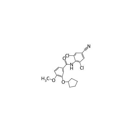 COc1ccc(C(=O)Nc2c(Cl)cc(C#N)cc2Cl)cc1OC1CCCC1